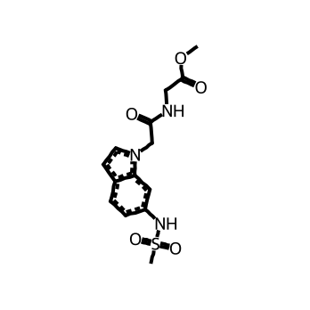 COC(=O)CNC(=O)Cn1ccc2ccc(NS(C)(=O)=O)cc21